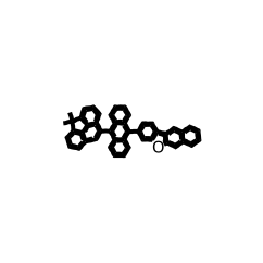 CC1(C)c2cccc3cc(-c4c5ccccc5c(-c5ccc6c(c5)oc5cc7ccccc7cc56)c5ccccc45)c4cccc1c4c23